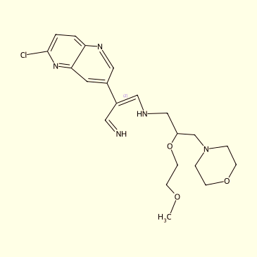 COCCOC(CN/C=C(\C=N)c1cnc2ccc(Cl)nc2c1)CN1CCOCC1